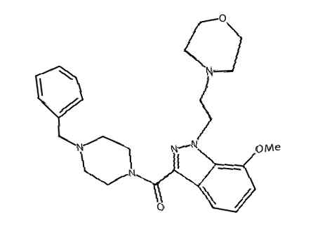 COc1cccc2c(C(=O)N3CCN(Cc4ccccc4)CC3)nn(CCN3CCOCC3)c12